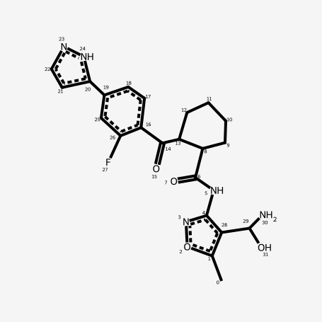 Cc1onc(NC(=O)C2CCCCC2C(=O)c2ccc(-c3ccn[nH]3)cc2F)c1C(N)O